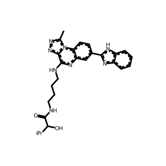 Cc1nnc2c(NCCCCNC(=O)C(O)C(C)C)nc3cc(-c4nc5ccccc5[nH]4)ccc3n12